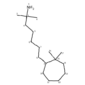 CC(C)(N)CCCCCC1CCCCCC1(C)C